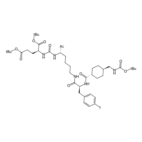 CC(=O)[C@H](CCCCNC(=O)[C@H](Cc1ccc(I)cc1)NC(=O)[C@H]1CC[C@H](CNC(=O)OC(C)(C)C)CC1)NC(=O)N[C@@H](CCC(=O)OC(C)(C)C)C(=O)OC(C)(C)C